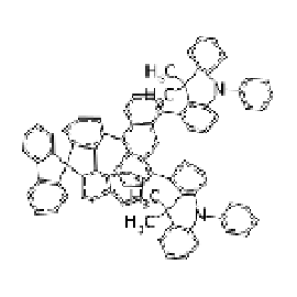 CC1(C)c2ccccc2N(c2ccccc2)c2cccc(-c3cccc4c(-c5cccc6c5-c5c(ccc7ccccc57)C65c6ccccc6-c6ccccc65)c5cccc(-c6cccc7c6C(C)(C)c6ccccc6N7c6ccccc6)c5cc34)c21